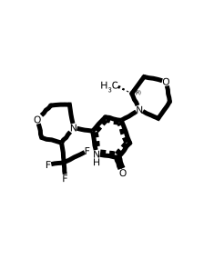 C[C@@H]1COCCN1c1cc(N2CCOCC2C(F)(F)F)[nH]c(=O)c1